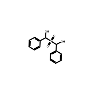 O=S(=O)(C(O)c1ccccc1)C(O)c1ccccc1